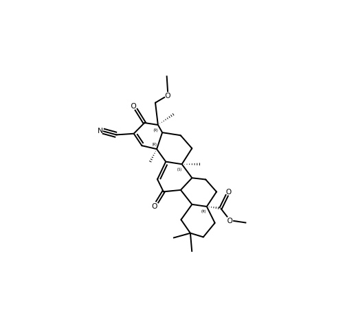 COC[C@]1(C)C(=O)C(C#N)=C[C@]2(C)C3=CC(=O)C4C5CC(C)(C)CC[C@]5(C(=O)OC)CCC4[C@]3(C)CCC21